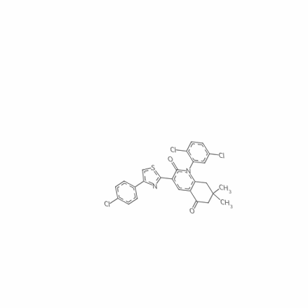 CC1(C)CC(=O)c2cc(-c3nc(-c4ccc(Cl)cc4)cs3)c(=O)n(-c3cc(Cl)ccc3Cl)c2C1